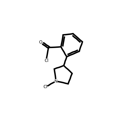 O=C(Cl)c1ccccc1C1CCN(Cl)C1